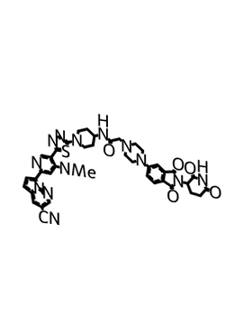 CNc1cc(-c2ccc3cc(C#N)cnn23)ncc1-c1nnc(N2CCC(NC(=O)CN3CCN(c4ccc5c(c4)C(=O)N(C4CCC(=O)NC4=O)C5=O)CC3)CC2)s1